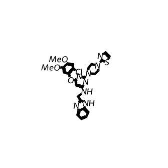 COc1cc(Cl)c(Oc2cc(NCc3nc4ccccc4[nH]3)nc(N3CCN(c4nccs4)CC3)n2)cc1OC